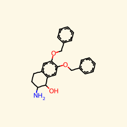 NC1CCc2cc(OCc3ccccc3)c(OCc3ccccc3)cc2C1O